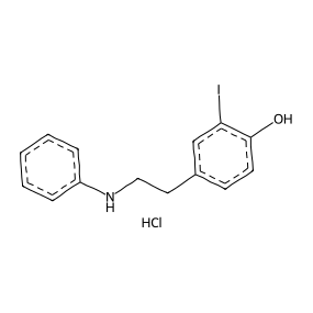 Cl.Oc1ccc(CCNc2ccccc2)cc1I